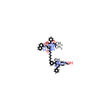 CN[C@@H](C)C(=O)N[C@H](C(=O)N1C[C@@H](NC(=O)CCCCCCc2cccc(-c3c(C)nn4c(N5CCN(CCO)CC5)cc(-c5ccccc5)nc34)c2)C[C@H]1C(=O)N[C@@H]1CCCc2ccccc21)C1CCCCC1